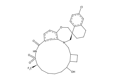 O=C1NS(=O)(=O)[C@H](C(F)(F)F)CCCCC(O)C2CCC2CN2C[C@@]3(CCCc4cc(Cl)ccc43)COc3ccc1cc32